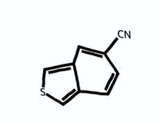 N#Cc1ccc2cscc2c1